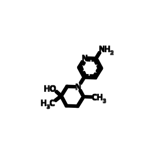 CC1CCC(C)(O)CN1c1ccc(N)nc1